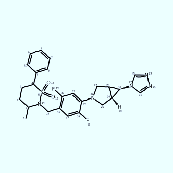 CC1CCC(c2ccccc2)S(=O)(=O)N1Cc1cc(F)c(N2CC3[C@@H](C2)[C@@H]3n2cnnc2)cc1F